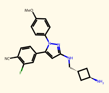 COc1ccc(-n2nc(NC[C@H]3C[C@H](N)C3)cc2-c2ccc(C#N)c(F)c2)cc1